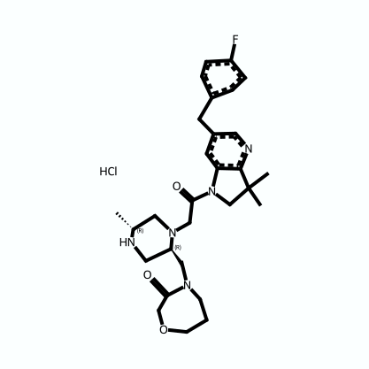 C[C@@H]1CN(CC(=O)N2CC(C)(C)c3ncc(Cc4ccc(F)cc4)cc32)[C@@H](CN2CCCOCC2=O)CN1.Cl